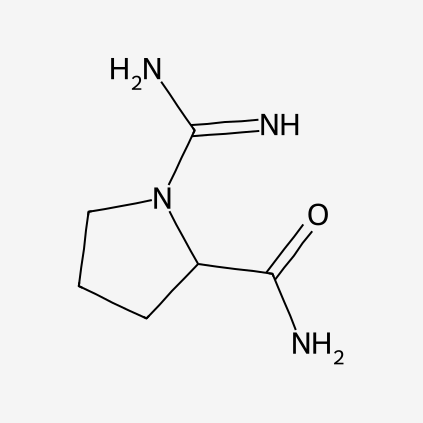 N=C(N)N1CCCC1C(N)=O